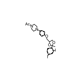 CC(=O)N1CCN(c2ccc(OCC3COC(C)(c4ccc(I)cc4I)O3)cc2)CC1